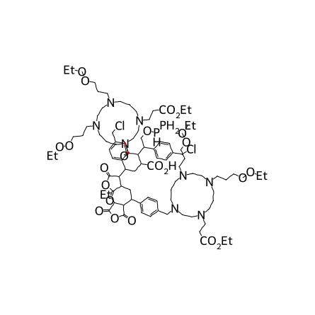 CCOOCCCN1CCCN(CCC(=O)OCC)CCN(Cc2ccc(C(CC3C(=O)OC(=O)C3C(CC(C(=O)O)C(C(=O)N3CCCN(CCCOOCC)CCN(CCCOOCC)CCCN(CCC(=O)OCC)CC3)C(COPP)c3ccc(CCl)cc3)c3ccc(CCl)cc3)C3C(=O)OC(=O)C3CC)cc2)CCCN(CCCOOCC)CC1